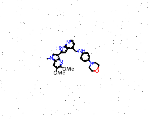 COc1cc2c(nc1OC)c(-c1cc3c(CNc4ccc(N5CCOCC5)cc4)ccnc3[nH]1)cn2C